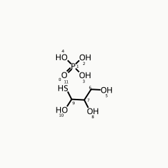 O=P(O)(O)O.OCC(O)C(O)S